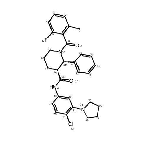 Cc1cccc(F)c1C(=O)N1CCC[C@H](C(=O)Nc2ccc(Cl)c(N3CCCC3)c2)[C@@H]1c1ccccc1